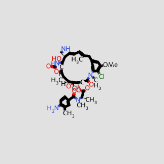 COc1cc2cc(c1Cl)N(C)C(=O)C[C@H](OC(=O)[C@H](C)N(C)C(=O)c1ccc(N)c(C)c1)[C@]1(C)O[C@H]1[C@H](C)[C@@H]1C[C@@](O)(NC(=O)O1)[C@H](C=N)/C=C/C=C(\C)C2